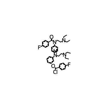 CCN(CC)CCN(C(=O)c1ccc(F)cc1)c1ccccc1.CCN(CC)CCNc1ccccc1.O=C(Cl)c1ccc(F)cc1